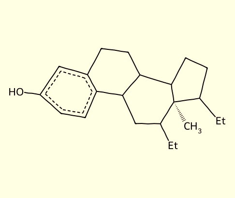 CCC1CCC2C3CCc4cc(O)ccc4C3CC(CC)[C@]12C